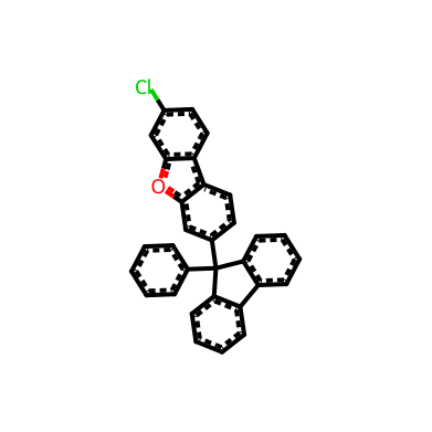 Clc1ccc2c(c1)oc1cc(C3(c4ccccc4)c4ccccc4-c4ccccc43)ccc12